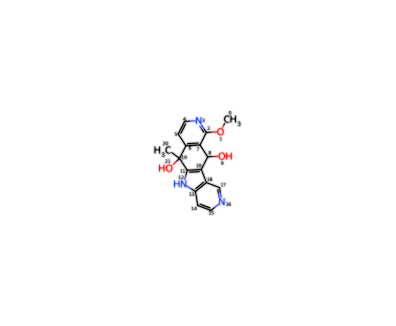 COc1nccc2c1C(O)c1c([nH]c3ccncc13)C2(C)O